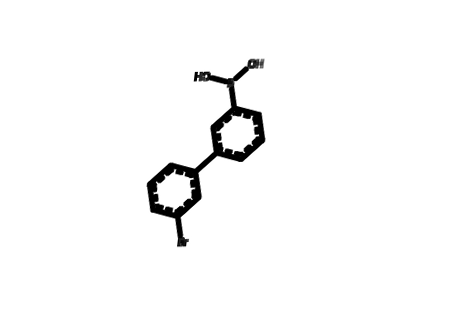 OB(O)c1cccc(-c2cccc(Br)c2)c1